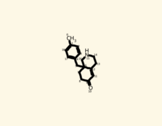 Cc1ccc(CC23CCC(=O)C=C2CCNC3)cc1